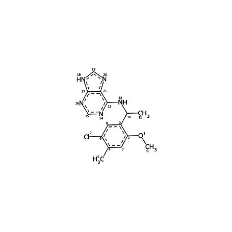 COc1cc(C)c(Cl)cc1C(C)Nc1ncnc2[nH]cnc12